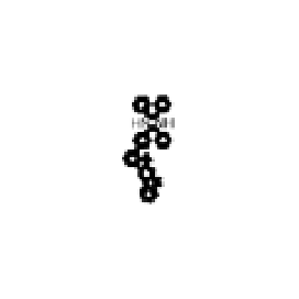 CC1(C)C2=CC3C(C=C2C2=C1C(C1=CCC(C4=C(C5=CC=CCC5)NC(c5ccccc5)C(C5=CC=CCC5)N4)C=C1)=CCC2)C1=CCCC=C1C3(C)C